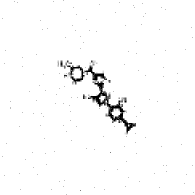 C[C@H]1CN(C(=O)c2coc(-c3nn(-c4ccc(C5CC5)cc4C#N)cc3C#N)n2)CCN1